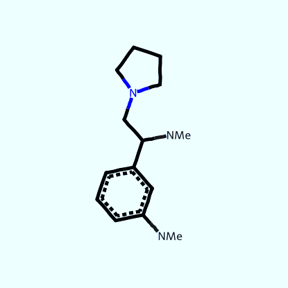 CNc1cccc(C(CN2CCCC2)NC)c1